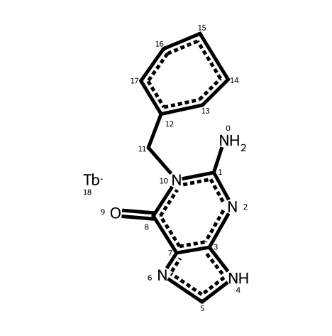 Nc1nc2[nH]cnc2c(=O)n1Cc1ccccc1.[Tb]